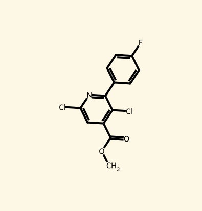 COC(=O)c1cc(Cl)nc(-c2ccc(F)cc2)c1Cl